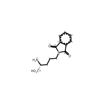 N[C@H](CCCN1C(=O)c2ccccc2C1=O)C(=O)O